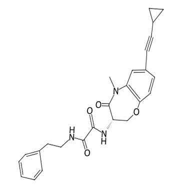 CN1C(=O)[C@@H](NC(=O)C(=O)NCCc2ccccc2)COc2ccc(C#CC3CC3)cc21